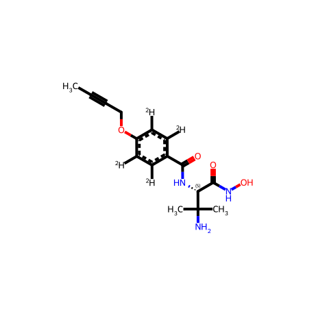 [2H]c1c([2H])c(C(=O)N[C@H](C(=O)NO)C(C)(C)N)c([2H])c([2H])c1OCC#CC